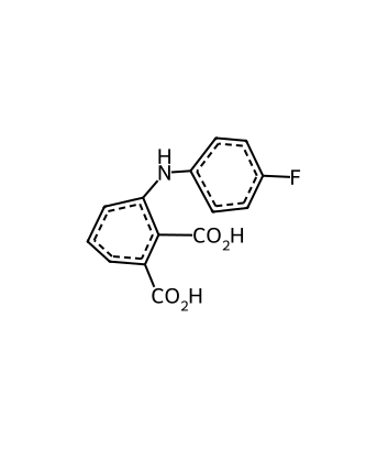 O=C(O)c1cccc(Nc2ccc(F)cc2)c1C(=O)O